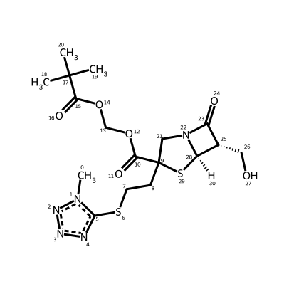 Cn1nnnc1SCCC1(C(=O)OCOC(=O)C(C)(C)C)CN2C(=O)[C@H](CO)[C@H]2S1